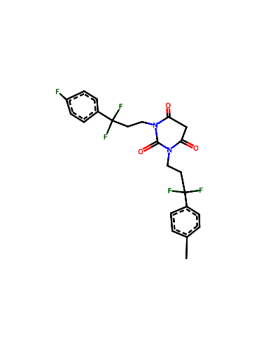 Cc1ccc(C(F)(F)CCN2C(=O)CC(=O)N(CCC(F)(F)c3ccc(F)cc3)C2=O)cc1